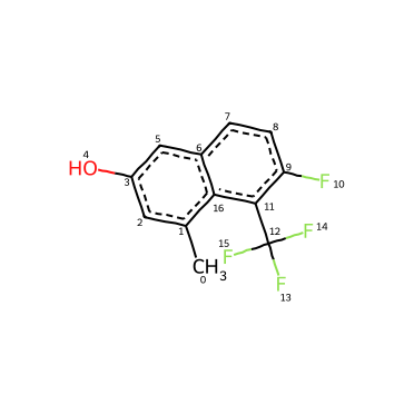 Cc1cc(O)cc2ccc(F)c(C(F)(F)F)c12